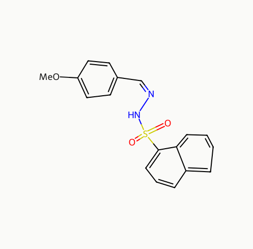 COc1ccc(/C=N\NS(=O)(=O)c2cccc3ccccc23)cc1